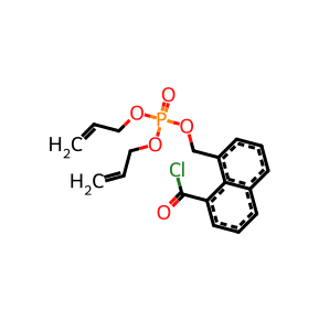 C=CCOP(=O)(OCC=C)OCc1cccc2cccc(C(=O)Cl)c12